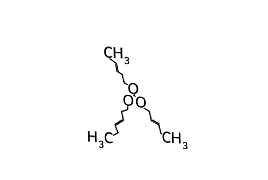 CC/C=C/CCOC(OCC/C=C/CC)OCC/C=C/CC